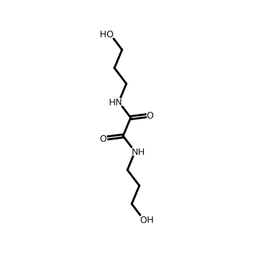 O=C(NCCCO)C(=O)NCCCO